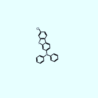 Clc1ccc2c(c1)sc1cc(N(c3ccccc3)c3ccccc3)ccc12